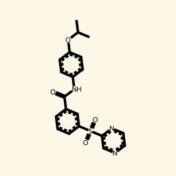 CC(C)Oc1ccc(NC(=O)c2cccc(S(=O)(=O)c3cnccn3)c2)cc1